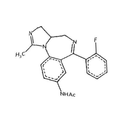 CC(=O)Nc1ccc2c(c1)C(c1ccccc1F)=NCC1CN=C(C)N21